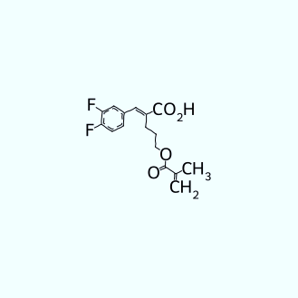 C=C(C)C(=O)OCCCC(=Cc1ccc(F)c(F)c1)C(=O)O